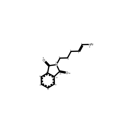 CCC/C=C/CC[CH]N1C(=O)c2ccccc2C1=O